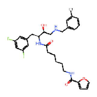 CCc1cccc(CNC[C@H](O)[C@H](Cc2cc(F)cc(F)c2)NC(=O)CCCCCNC(=O)c2ccco2)c1